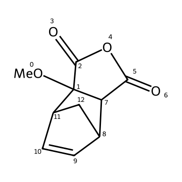 COC12C(=O)OC(=O)C1C1C=CC2C1